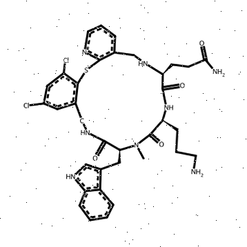 CN1C(=O)[C@H](CCCN)NC(=O)[C@H](CCC(N)=O)NCc2cccnc2Sc2c(Cl)cc(Cl)cc2CNC(=O)[C@@H]1Cc1c[nH]c2ccccc12